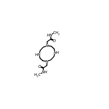 CNC(=O)CN1CCNCCN(CC(=O)NC)CCNCC1